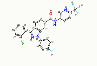 O=C(Nc1ccc(C(F)(F)F)nc1)c1ccc2c(-c3ccccc3Cl)nn(-c3ccc(F)cc3)c2c1